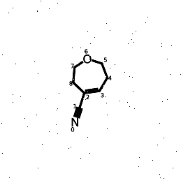 N#CC1=CCCOCC1